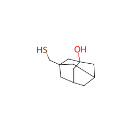 OC12CC3CC(C1)CC(CS)(C3)C2